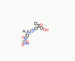 CN(Cc1ccc2c(c1)CN(C1CCC(=O)NC1=O)C2=O)C1CCN(c2ccc([C@@H]3c4ccc(O)cc4OC[C@@H]3c3ccccc3)cc2)CC1